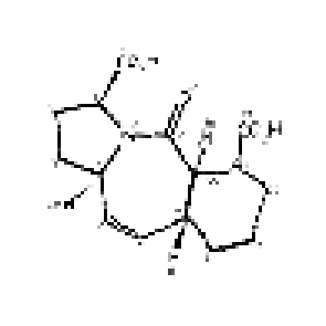 O=C(O)[C@@H]1CC[C@@H]2C=C[C@H]3CCCN(C(=O)O)[C@@H]3C(=O)N21